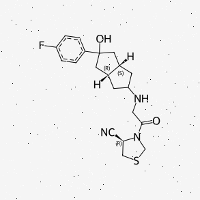 N#C[C@@H]1CSCN1C(=O)CNC1C[C@@H]2CC(O)(c3ccc(F)cc3)C[C@@H]2C1